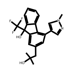 Cn1cc(-c2cc(CC(C)(C)O)cc3c2-c2ccccc2C3(O)C(F)(F)F)cn1